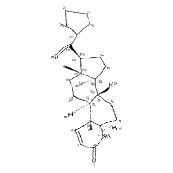 C[C@]12C=CC(=O)N[C@@H]1CC[C@@H]1[C@@H]2CC[C@]2(C)[C@@H](C(=O)C3CCCC3)CC[C@@H]12